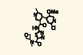 COc1cnc(Cl)cc1-c1cc(C)ncc1C(=O)Nc1nnc(C(=O)N(C)C2COC2)s1